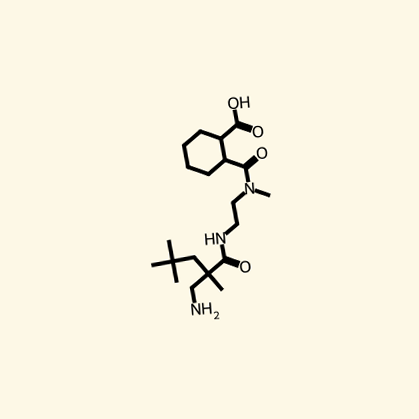 CN(CCNC(=O)C(C)(CN)CC(C)(C)C)C(=O)C1CCCCC1C(=O)O